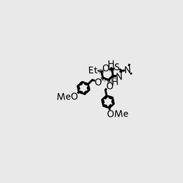 CC[C@H]1O[C@@H]2SC(N(C)C)=N[C@@H]2[C@@H](OCc2ccc(OC)cc2)[C@@H]1OCc1ccc(OC)cc1